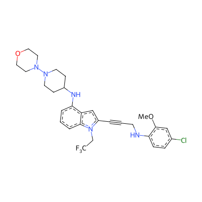 COc1cc(Cl)ccc1NCC#Cc1cc2c(NC3CCN(N4CCOCC4)CC3)cccc2n1CC(F)(F)F